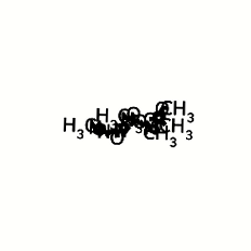 COc1cc(C)c(SN(C)CCOCC(=O)N(C)[C@@H]2CCN(C(=O)CCN3CCN(C)CC3)C2)c(C)c1